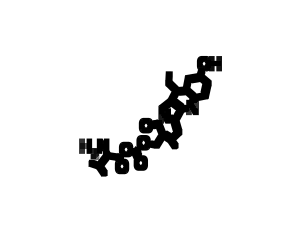 CCc1c2c(nc3ccc(O)cc13)-c1cc(C)c(COC(=O)OC(=O)C(N)C(C)C)c(=O)n1C2